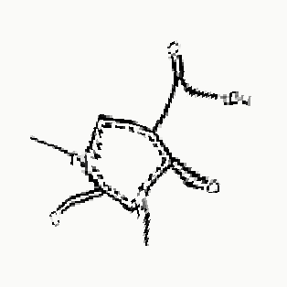 Cn1cc(C(=O)C(C)(C)C)c(=O)n(C)c1=O